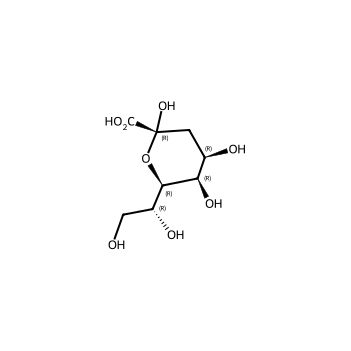 O=C(O)[C@@]1(O)C[C@@H](O)[C@@H](O)[C@@H]([C@H](O)CO)O1